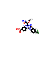 CCOC(C(N)=O)C1(Nc2nc3ccc(C(F)(F)F)cc3s2)Nc2cc(C(=O)O)ccc2N1C